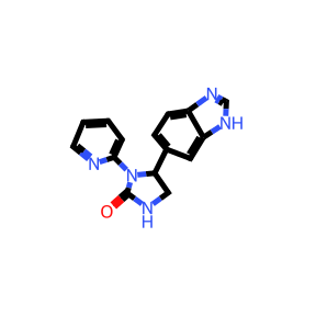 O=C1NCC(c2ccc3nc[nH]c3c2)N1c1ccccn1